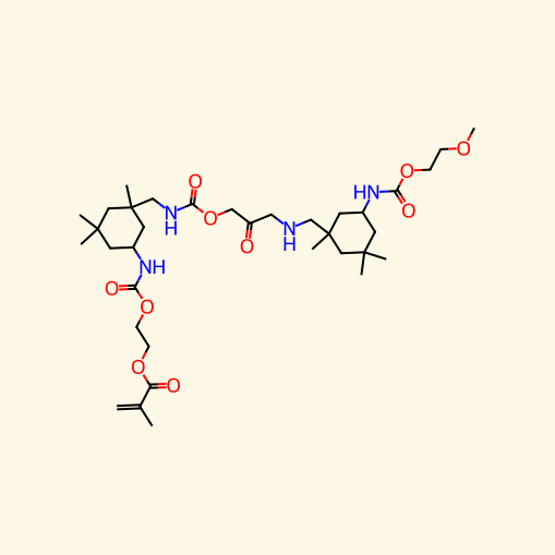 C=C(C)C(=O)OCCOC(=O)NC1CC(C)(C)CC(C)(CNC(=O)OCC(=O)CNCC2(C)CC(NC(=O)OCCOC)CC(C)(C)C2)C1